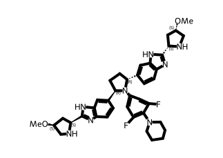 CO[C@@H]1CN[C@H](c2nc3ccc([C@H]4CC[C@H](c5ccc6nc([C@@H]7C[C@H](OC)CN7)[nH]c6c5)N4c4cc(F)c(N5CCCCC5)c(F)c4)cc3[nH]2)C1